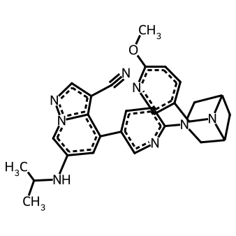 COc1ccc(CN2C3CC2CN(c2ccc(-c4cc(NC(C)C)cn5ncc(C#N)c45)cn2)C3)cn1